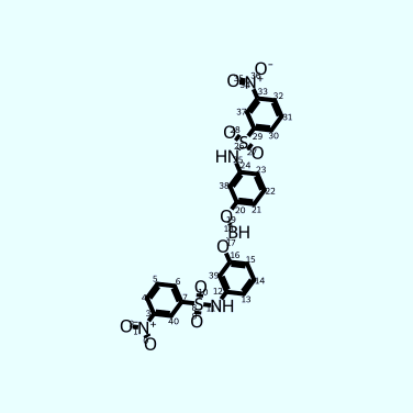 O=[N+]([O-])c1cccc(S(=O)(=O)Nc2cccc(OBOc3cccc(NS(=O)(=O)c4cccc([N+](=O)[O-])c4)c3)c2)c1